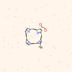 O=CC=O.[2H]C1=CC2=CC3=NC(=CC4=NC(=CC5=NC(=CC1=N2)C=C5)C=C4)C=C3